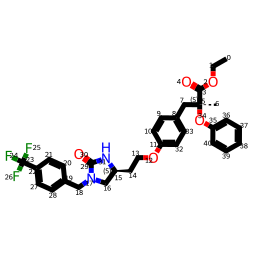 CCOC(=O)[C@](C)(Cc1ccc(OCC[C@H]2CN(Cc3ccc(C(F)(F)F)cc3)C(=O)N2)cc1)Oc1ccccc1